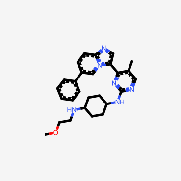 COCCNC1CCC(Nc2ncc(C)c(-c3cnc4ccc(-c5ccccc5)cn34)n2)CC1